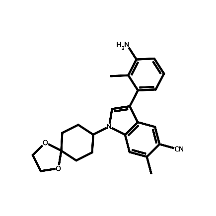 Cc1cc2c(cc1C#N)c(-c1cccc(N)c1C)cn2C1CCC2(CC1)OCCO2